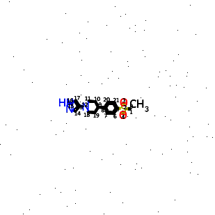 CCS(=O)(=O)c1ccc(C2CCN(c3cn[nH]c3)CC2)cc1